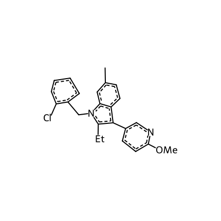 CCc1c(-c2ccc(OC)nc2)c2ccc(C)cc2n1Cc1ccccc1Cl